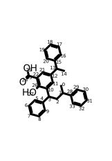 CC(CC(c1ccccc1)c1cc(C(C)c2ccccc2)cc(C(=O)O)c1O)c1ccccc1